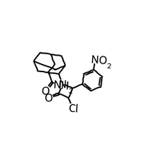 NC(=O)C12CC3CC(CC(C3)C1N1C(=O)C(Cl)C1c1cccc([N+](=O)[O-])c1)C2